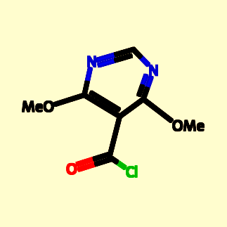 COc1ncnc(OC)c1C(=O)Cl